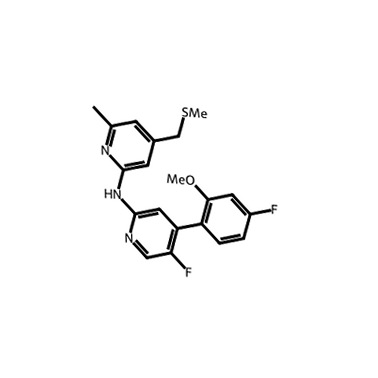 COc1cc(F)ccc1-c1cc(Nc2cc(CSC)cc(C)n2)ncc1F